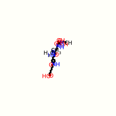 C#CCNC(=O)C(CO)(CO)C(=O)NCCCC[C@@H](C(=O)NCCc1ccc(NC(=O)CCCCCCC(=O)O)cc1)N(C)C